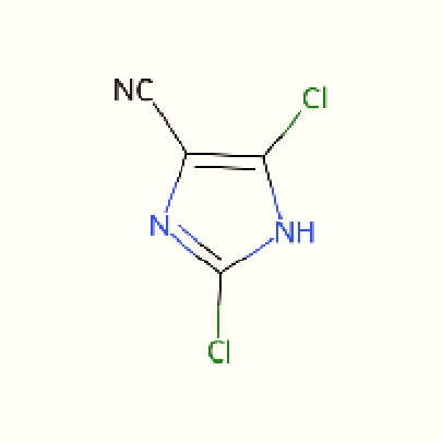 N#Cc1nc(Cl)[nH]c1Cl